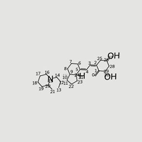 C=C1C(=CC=C2CCC[C@]3(C)[C@@H](C(C)CN4CCCCC4C)CC[C@@H]23)C[C@@H](O)C[C@@H]1O